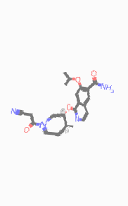 CC(C)Oc1cc2c(O[C@H]3CN(C(=O)CC#N)CC[C@@H]3C)nccc2cc1C(N)=O